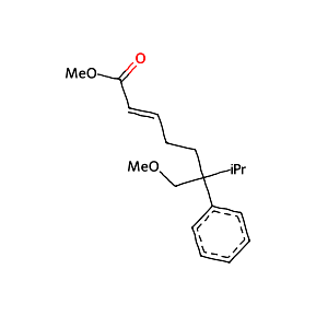 COCC(CCC=CC(=O)OC)(c1ccccc1)C(C)C